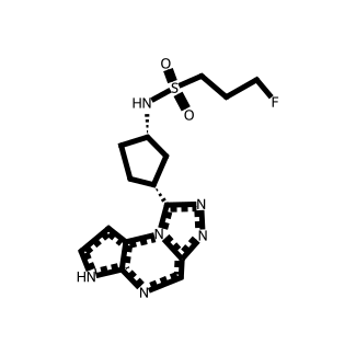 O=S(=O)(CCCF)N[C@H]1CC[C@@H](c2nnc3cnc4[nH]ccc4n23)C1